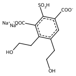 O=C([O-])c1cc(CCO)c(CCO)c(C(=O)[O-])c1S(=O)(=O)O.[Na+].[Na+]